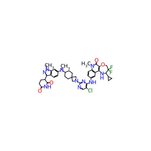 CN(c1ccc2c(C3CCC(=O)NC3=O)nn(C)c2c1)C1CCC2(CC1)CN(c1ncc(Cl)c(Nc3ccc4c(c3)c3c(c(=O)n4C)OCC(F)(F)C(C4CC4)N3)n1)C2